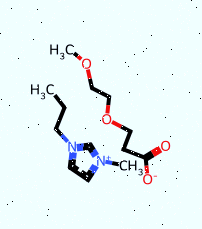 CCCn1cc[n+](C)c1.COCCOCCC(=O)[O-]